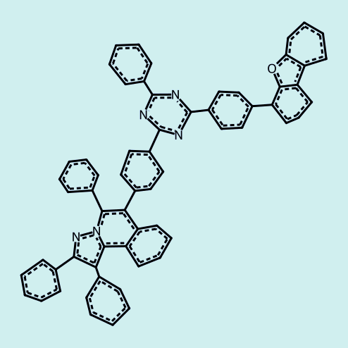 c1ccc(-c2nc(-c3ccc(-c4c(-c5ccccc5)n5nc(-c6ccccc6)c(-c6ccccc6)c5c5ccccc45)cc3)nc(-c3ccc(-c4cccc5c4oc4ccccc45)cc3)n2)cc1